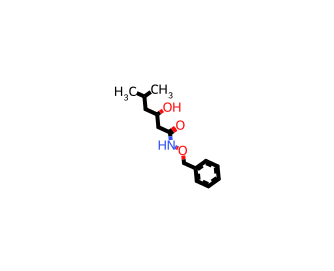 CC(C)CC(O)CC(=O)NOCc1ccccc1